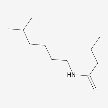 C=C(CCC)NCCCCC(C)C